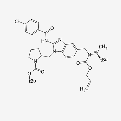 C=CCOC(=O)N(Cc1ccc2c(c1)nc(NC(=O)c1ccc(Cl)cc1)n2CC1CCCN1C(=O)OC(C)(C)C)[C@@H](C)C(C)(C)C